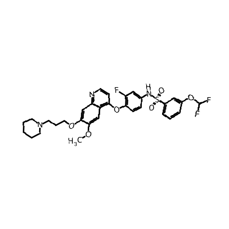 COc1cc2c(Oc3ccc(NS(=O)(=O)c4cccc(OC(F)F)c4)cc3F)ccnc2cc1OCCCN1CCCCC1